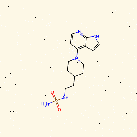 NS(=O)(=O)NCCC1CCN(c2ccnc3[nH]ccc23)CC1